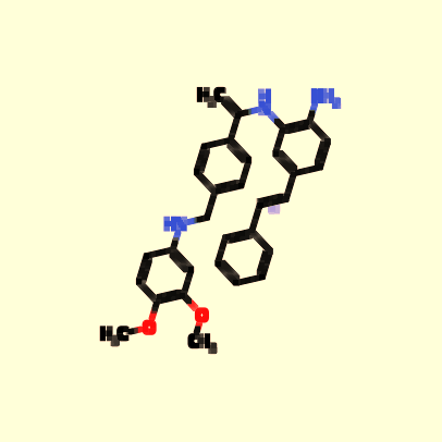 C=C(Nc1cc(/C=C/c2ccccc2)ccc1N)c1ccc(CNc2ccc(OC)c(OC)c2)cc1